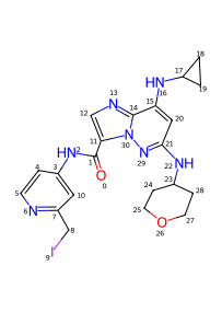 O=C(Nc1ccnc(CI)c1)c1cnc2c(NC3CC3)cc(NC3CCOCC3)nn12